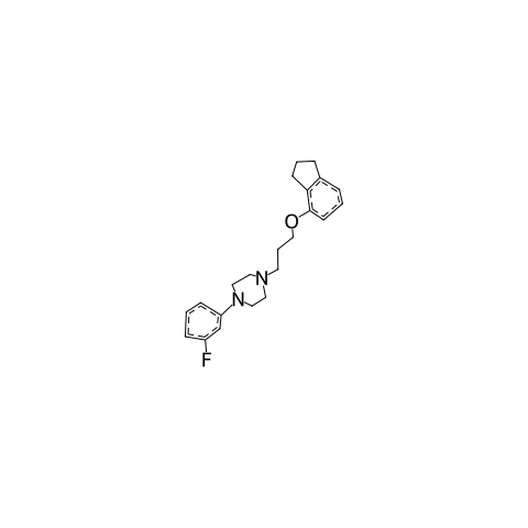 Fc1cccc(N2CCN(CCCOc3cccc4c3CCC4)CC2)c1